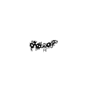 O=C(C[C@H]1C[C@H]2CC(c3ccnc4ccc(F)cc34)C[C@H]2C1)Nc1ccc2c(c1)OCC1COCCN21